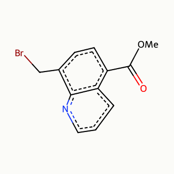 COC(=O)c1ccc(CBr)c2ncccc12